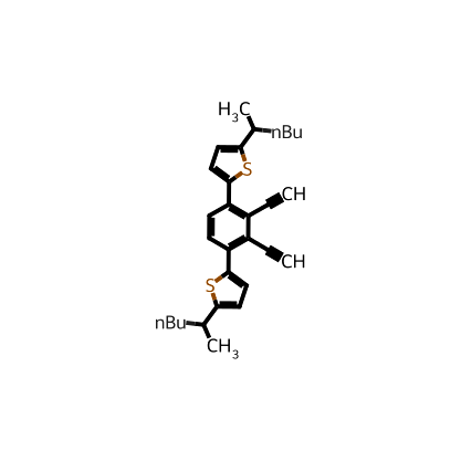 C#Cc1c(-c2ccc(C(C)CCCC)s2)ccc(-c2ccc(C(C)CCCC)s2)c1C#C